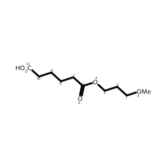 COCCCOC(=O)CCCCC(=O)O